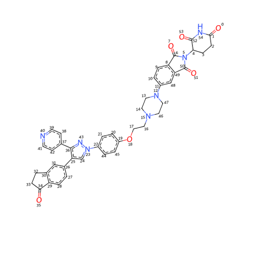 O=C1CCC(N2C(=O)c3ccc(N4CCN(CCOc5ccc(-n6cc(-c7ccc8c(c7)CCC8=O)c(-c7ccncc7)n6)cc5)CC4)cc3C2=O)C(=O)N1